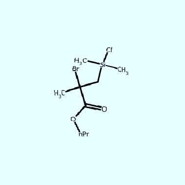 CCCOC(=O)C(C)(Br)C[Si](C)(C)Cl